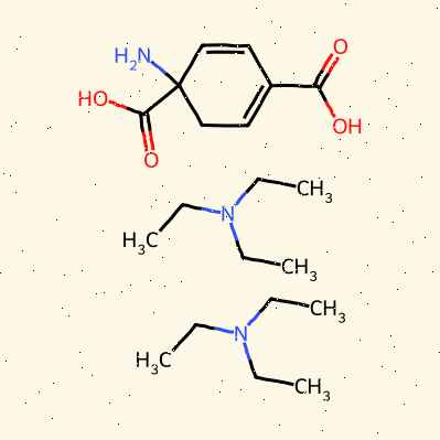 CCN(CC)CC.CCN(CC)CC.NC1(C(=O)O)C=CC(C(=O)O)=CC1